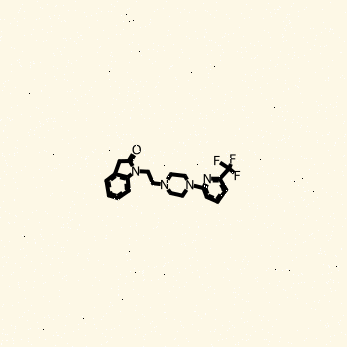 O=C1Cc2ccccc2N1CCN1CCN(c2cccc(C(F)(F)F)n2)CC1